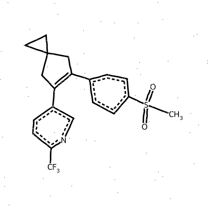 CS(=O)(=O)c1ccc(C2=C(c3ccc(C(F)(F)F)nc3)CC3(CC3)C2)cc1